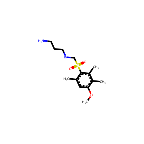 COc1cc(C)c(S(=O)(=O)CNCCCN)c(C)c1C